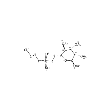 CC(=O)O[C@H]1O[C@H](CCS(=N)(=O)CCCCl)[C@@H](OC(C)=O)[C@H](OC(C)=O)[C@@H]1OC(C)=O